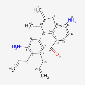 C=CCc1c(N)ccc(C(=O)c2ccc(N)c(CC=C)c2CC=C)c1CC=C